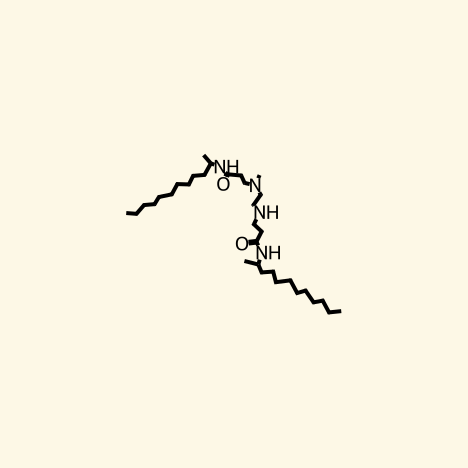 CCCCCCCCCCC(C)NC(=O)CCNCCN(C)CCC(=O)NC(C)CCCCCCCCCC